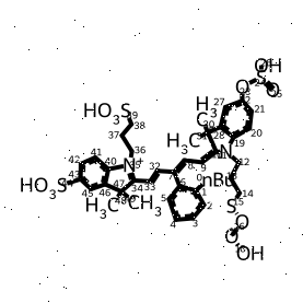 CCCCc1ccccc1C(=C\C=C1\N(CCCSOOO)c2ccc(OS(=O)O)cc2C1(C)C)/C=C/C1=[N+](CCCS(=O)(=O)O)c2ccc(S(=O)(=O)O)cc2C1(C)C